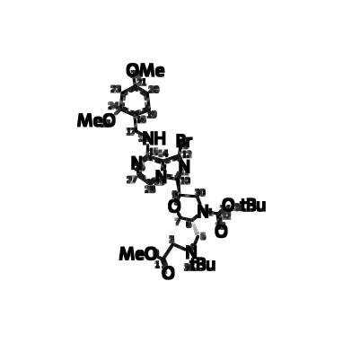 COC(=O)CN(C[C@@H]1CO[C@@H](c2nc(Br)c3c(NCc4ccc(OC)cc4OC)nccn23)CN1C(=O)OC(C)(C)C)C(C)(C)C